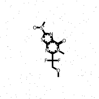 COCC(F)(F)c1nc2sc([S+](C)[O-])nc2c(=O)n1C